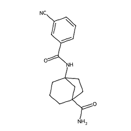 N#Cc1cccc(C(=O)NC23CCCC(C(N)=O)(CC2)C3)c1